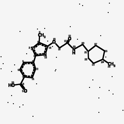 Cc1sc(-c2ccc(C(=O)O)cc2)nc1OCC(=O)NCC1CCC(C)CC1